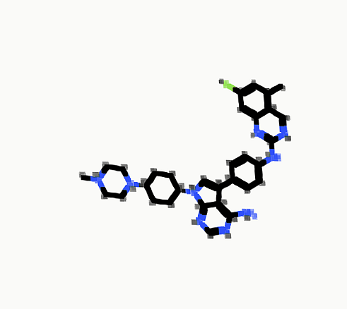 Cc1cc(F)cc2nc(Nc3ccc(-c4cn([C@H]5CC[C@@H](N6CCN(C)CC6)CC5)c5ncnc(N)c45)cc3)ncc12